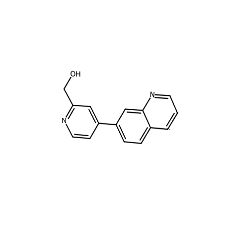 OCc1cc(-c2ccc3[c]ccnc3c2)ccn1